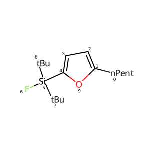 CCCCCc1ccc([Si](F)(C(C)(C)C)C(C)(C)C)o1